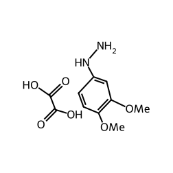 COc1ccc(NN)cc1OC.O=C(O)C(=O)O